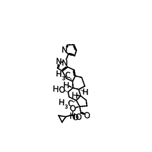 C[C@]12Cc3cnn(-c4ccccn4)c3C=C1CC[C@@H]1[C@@H]2[C@@H](O)C[C@@]2(C)[C@H]1CC[C@]2(OC(=O)C1CC1)C(=O)O